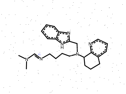 CN(C)/C=N/CCCCN(Cc1nc2ccccc2[nH]1)C1CCCc2cccnc21